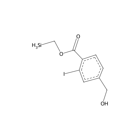 O=C(OC[SiH3])c1ccc(CO)cc1I